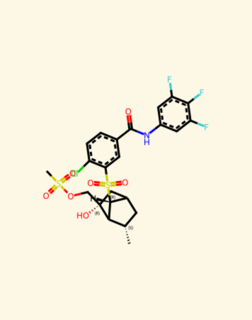 C[C@H]1CC2C[C@](O)(COS(C)(=O)=O)C1[C@@H]2S(=O)(=O)c1cc(C(=O)Nc2cc(F)c(F)c(F)c2)ccc1Cl